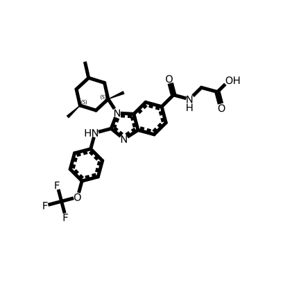 CC1C[C@H](C)C[C@@](C)(n2c(Nc3ccc(OC(F)(F)F)cc3)nc3ccc(C(=O)NCC(=O)O)cc32)C1